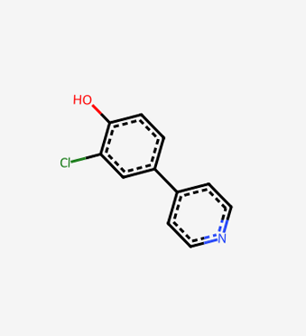 Oc1ccc(-c2ccncc2)cc1Cl